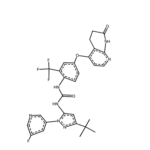 CC(C)(C)c1cc(NC(=O)Nc2ccc(Oc3ccnc4c3CCC(=O)N4)cc2C(F)(F)F)n(-c2cncc(F)c2)n1